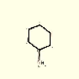 N[C]1C[CH]CCC1